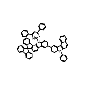 C1=C(c2ccc3c(c2)c2ccc4c(c2n3-c2nc(-c3ccccc3)cc(-c3ccccc3)n2)-c2ccccc2C42c3ccccc3-c3ccccc32)C=C2c3c(ccc4ccccc34)N(c3ccccc3)C2C1